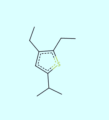 CCc1cc(C(C)C)sc1CC